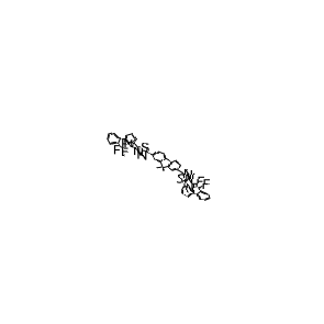 CC1(C)c2cc(-c3nnc(-c4cccc(-c5ccccc5C(F)(F)F)n4)s3)ccc2-c2ccc(-c3nnc(-c4cccc(-c5ccccc5C(F)(F)F)n4)s3)cc21